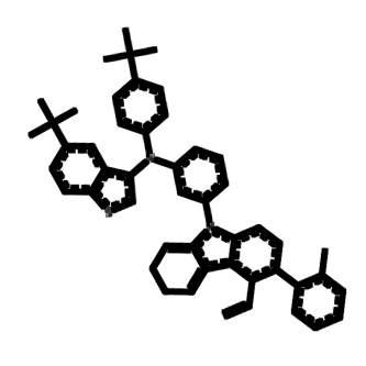 C=Cc1c(-c2ccccc2C)ccc2c1c1c(n2-c2cccc(N(c3ccc(C(C)(C)C)cc3)c3csc4ccc(C(C)(C)C)cc34)c2)=CCCC=1